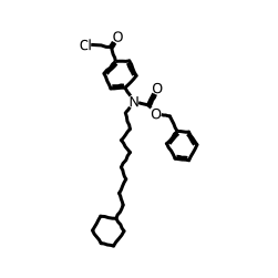 O=C(Cl)c1ccc(N(CCCCCCCCC2CCCCC2)C(=O)OCc2ccccc2)cc1